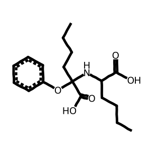 CCCCC(NC(CCCC)(Oc1ccccc1)C(=O)O)C(=O)O